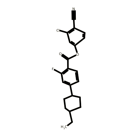 CCC1CCC(c2ccc(C(=O)Oc3ccc(C#N)c(Cl)c3)c(F)c2)CC1